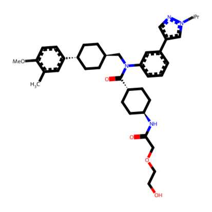 COc1ccc([C@H]2CC[C@H](CN(c3cccc(-c4cnn(C(C)C)c4)c3)C(=O)[C@H]3CC[C@H](NC(=O)COCCO)CC3)CC2)cc1C